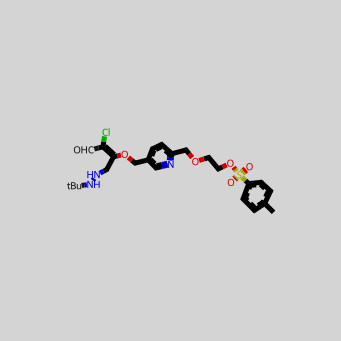 Cc1ccc(S(=O)(=O)OCCOCc2ccc(CO/C(CNNC(C)(C)C)=C(\Cl)C=O)cn2)cc1